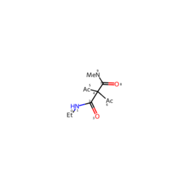 CCNC(=O)C(C(C)=O)(C(C)=O)C(=O)NC